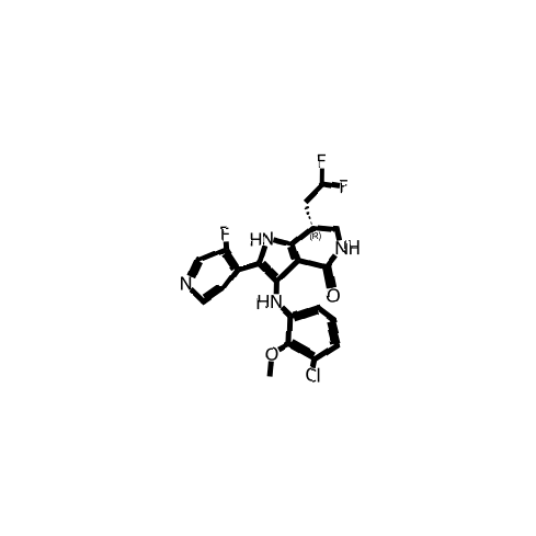 COc1c(Cl)cccc1Nc1c(-c2ccncc2F)[nH]c2c1C(=O)NC[C@H]2CC(F)F